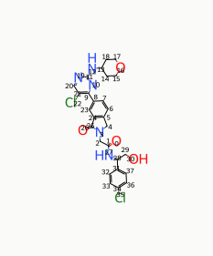 O=C(CN1Cc2ccc(-c3nc(NC4CCOCC4)ncc3Cl)cc2C1=O)NC(CO)c1ccc(Cl)cc1